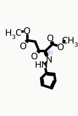 COC(=O)CC(=O)/C(=N\Nc1ccccc1)C(=O)OC